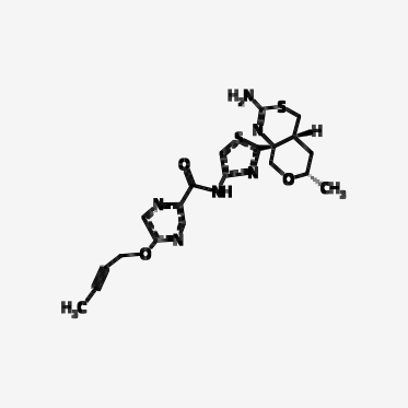 CC#CCOc1cnc(C(=O)Nc2csc([C@]34CO[C@@H](C)C[C@H]3CSC(N)=N4)n2)cn1